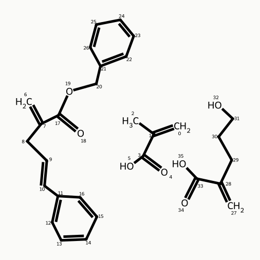 C=C(C)C(=O)O.C=C(CC=Cc1ccccc1)C(=O)OCc1ccccc1.C=C(CCCO)C(=O)O